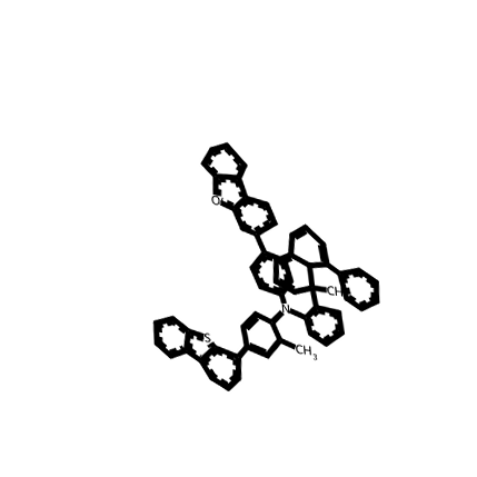 CC1C=C(c2cccc3c2sc2ccccc23)C=CC1N(c1ccc(-c2ccc3c(c2)oc2ccccc23)cc1)c1ccccc1C1(C)C=CC=C2C=CC=C(c3ccccc3)C21